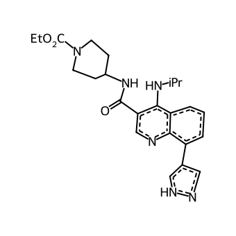 CCOC(=O)N1CCC(NC(=O)c2cnc3c(-c4cn[nH]c4)cccc3c2NC(C)C)CC1